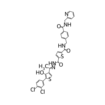 C/C(=N\NC(=O)c1ccc(C(=O)NCc2ccc(C(=O)NCc3ccccn3)cc2)s1)c1csc(-c2ccc(Cl)c(Cl)c2)c1O